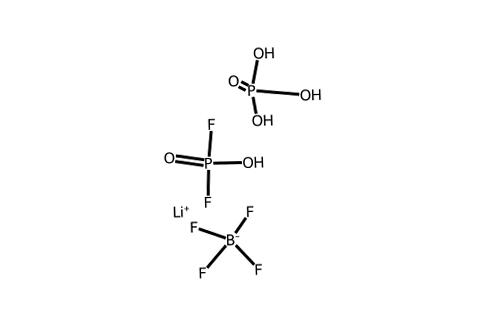 F[B-](F)(F)F.O=P(O)(F)F.O=P(O)(O)O.[Li+]